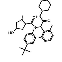 Cc1ccnc(C)c1C(C(=O)NC1CCCCC1)N(C(=O)C1CC(O)CN1)c1ccc(C(C)(C)C)cc1